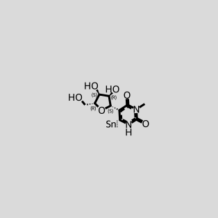 Cn1c(=O)[nH]cc([C@@H]2O[C@H](CO)[C@@H](O)[C@H]2O)c1=O.[Sn]